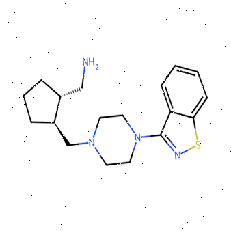 NC[C@H]1CCC[C@@H]1CN1CCN(c2nsc3ccccc23)CC1